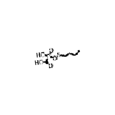 CCCCSOP(=O)(O)C(=O)O